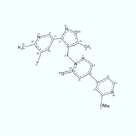 COc1cc(-c2cnn(Cc3c(-c4cnc(C)c(F)c4)noc3C)c(=O)c2)ccn1